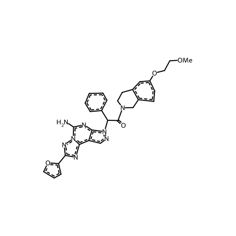 COCCOc1ccc2c(c1)CCN(C(=O)C(c1ccccc1)n1ncc3c1nc(N)n1nc(-c4ccco4)nc31)C2